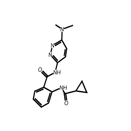 CN(C)c1ccc(NC(=O)c2ccccc2NC(=O)C2CC2)nn1